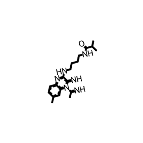 CC(=N)n1c(=N)c(NCCCCNC(=O)C(C)C)nc2ccc(C)cc21